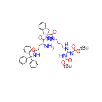 CC(C)(C)OC(=O)/N=C(\NCCCCNC(=O)C1(NC(=O)[C@@H](N)CCC(=O)NC(c2ccccc2)(c2ccccc2)c2ccccc2)Cc2ccccc2C1)NC(=O)OC(C)(C)C